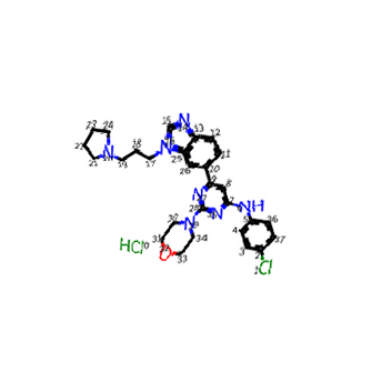 Cl.Clc1ccc(Nc2cc(-c3ccc4ncn(CCCN5CCCC5)c4c3)nc(N3CCOCC3)n2)cc1